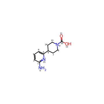 Nc1cccc(C2CCN(C(=O)O)CC2)n1